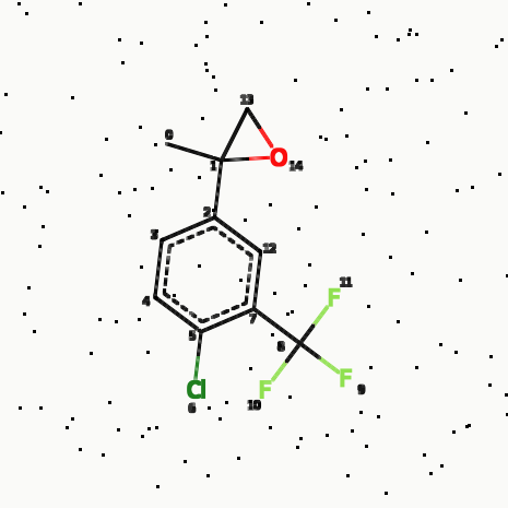 CC1(c2ccc(Cl)c(C(F)(F)F)c2)CO1